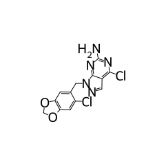 Nc1nc(Cl)c2cnn(Cc3cc4c(cc3Cl)OCO4)c2n1